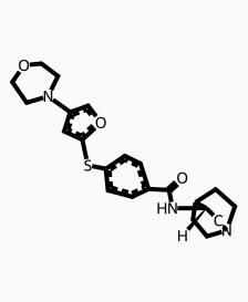 O=C(N[C@H]1CN2CCC1CC2)c1ccc(Sc2cc(N3CCOCC3)co2)cc1